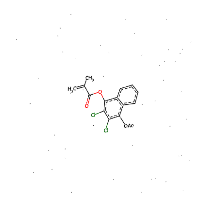 C=C(C)C(=O)Oc1c(Cl)c(Cl)c(OC(C)=O)c2ccccc12